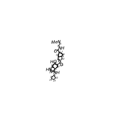 CNCCNC(=O)c1ccc2c(c1)CN(C(=O)c1cc3c(NC4CCCC4)n[nH]c3cc1O)C2